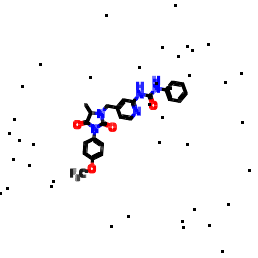 CC1C(=O)N(c2ccc(OC(F)(F)F)cc2)C(=O)N1Cc1ccnc(NC(=O)Nc2ccccc2)c1